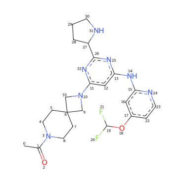 CC(=O)N1CCC2(CC1)CN(c1cc(Nc3cc(OC(F)F)ccn3)nc(C3CCCN3)n1)C2